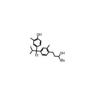 CCC(c1ccc(O)c(C)c1)(c1ccc(CCC(O)C(C)(C)C)c(C)c1)C(C)I